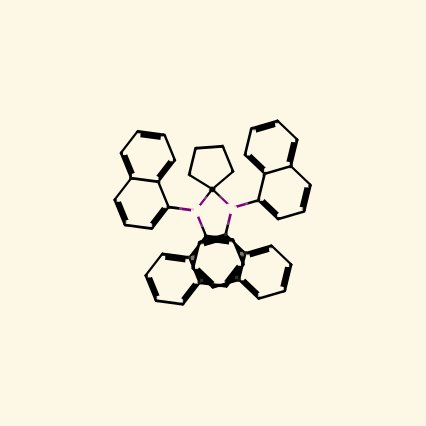 c1ccc2c(P(c3cccc4ccccc34)C3(P(c4cccc5ccccc45)c4cccc5ccccc45)CCCC3)cccc2c1